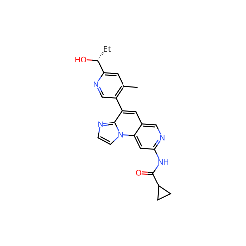 CC[C@@H](O)c1cc(C)c(-c2cc3cnc(NC(=O)C4CC4)cc3n3ccnc23)cn1